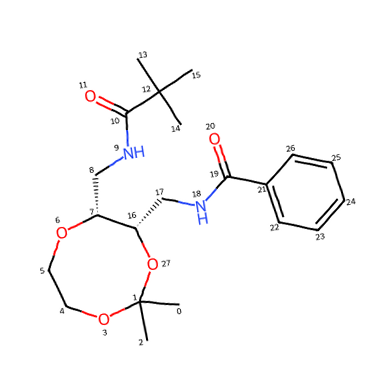 CC1(C)OCCO[C@H](CNC(=O)C(C)(C)C)[C@H](CNC(=O)c2ccccc2)O1